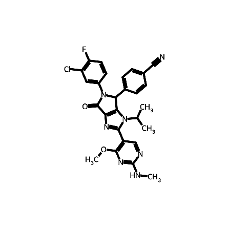 CNc1ncc(-c2nc3c(n2C(C)C)C(c2ccc(C#N)cc2)N(c2ccc(F)c(Cl)c2)C3=O)c(OC)n1